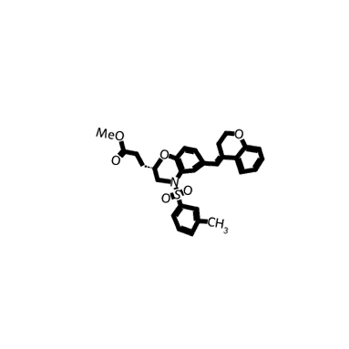 COC(=O)CC[C@H]1CN(S(=O)(=O)c2cccc(C)c2)c2cc(/C=C3\CCOc4ccccc43)ccc2O1